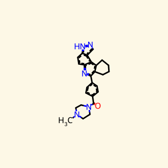 CN1CCN(C(=O)c2ccc(-c3nc4ccc5[nH]ncc5c4c4c3CCCC4)cc2)CC1